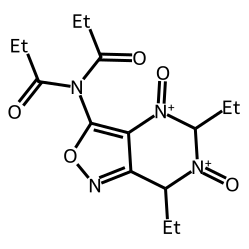 CCC(=O)N(C(=O)CC)c1onc2c1[N+](=O)C(CC)[N+](=O)C2CC